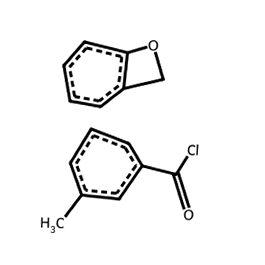 Cc1cccc(C(=O)Cl)c1.c1ccc2c(c1)CO2